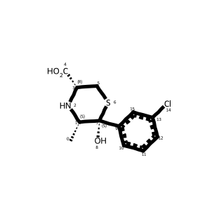 C[C@@H]1N[C@H](C(=O)O)CS[C@@]1(O)c1cccc(Cl)c1